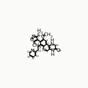 COc1cc2c3c(cnc2c(CCc2ccccn2)c1-c1c(C)noc1C)NC(=O)CN3